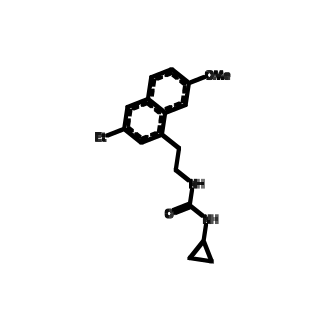 CCc1cc(CCNC(=O)NC2CC2)c2cc(OC)ccc2c1